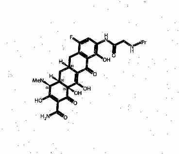 CN[C@@H]1C(O)=C(C(N)=O)C(=O)[C@@]2(O)C(O)=C3C(=O)c4c(O)c(NC(=O)CNC(C)C)cc(F)c4C[C@H]3C[C@@H]12